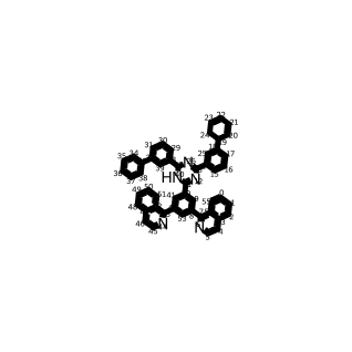 c1ccc2ccnc(-c3cc(C4=NC(c5cccc(C6C=CC=CC6)c5)=NC(c5cccc(-c6ccccc6)c5)N4)cc(-c4nccc5ccccc45)c3)c2c#1